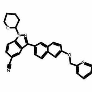 N#Cc1ccc2c(c1)c(-c1ccc3cc(OCc4ccccn4)ccc3c1)nn2C1CCCCO1